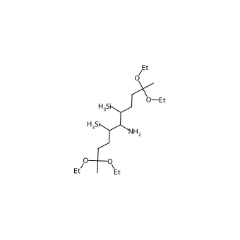 CCOC(C)(CCC([SiH3])C(N)C([SiH3])CCC(C)(OCC)OCC)OCC